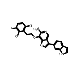 Nc1ncc2c(-c3ccc4cc[nH]c4c3)coc2c1OCCc1c(Cl)ccc(F)c1Cl